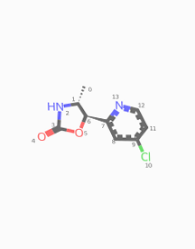 C[C@H]1NC(=O)O[C@@H]1c1cc(Cl)ccn1